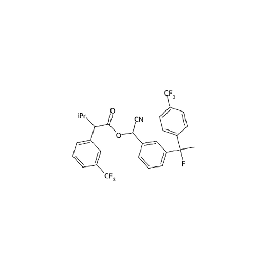 CC(C)C(C(=O)OC(C#N)c1cccc(C(C)(F)c2ccc(C(F)(F)F)cc2)c1)c1cccc(C(F)(F)F)c1